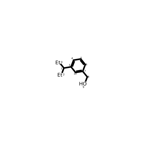 CCC(CC)c1cccc(CO)c1